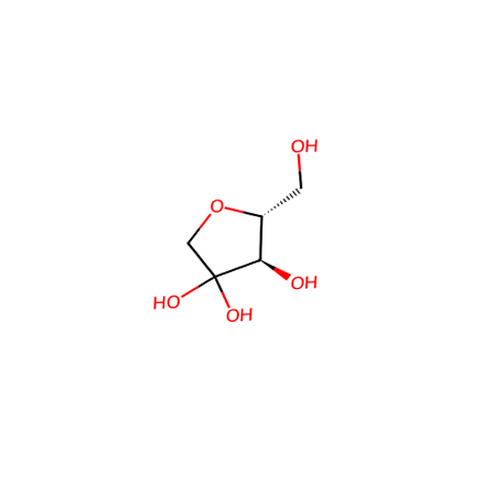 OC[C@H]1OCC(O)(O)[C@@H]1O